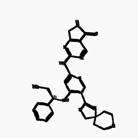 O=C1NCc2nc(Nc3cc(N[C@H](CO)c4ccccc4)c(C4=NC5(CCOCC5)CO4)cn3)ncc21